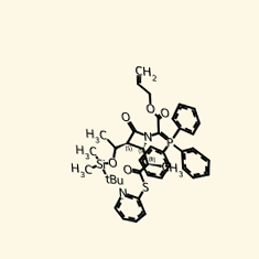 C=CCOC(=O)C(N1C(=O)[C@H](C(C)O[Si](C)(C)C(C)(C)C)[C@H]1[C@@H](C)C(=O)Sc1ccccn1)=P(c1ccccc1)(c1ccccc1)c1ccccc1